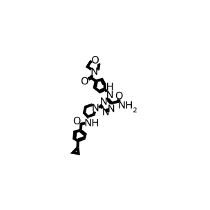 NC(=O)c1nnc(N2CCC[C@@H](NC(=O)c3ccc(C4CC4)cc3)C2)nc1Nc1ccc(C(=O)N2CCOCC2)cc1